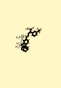 C[SiH](C)Oc1c(CC/C=C(/C(=O)O)c2cccc(C(F)(F)F)c2)ccc(C23CC4CC(CC(C4)C2)C3)c1C(C)(C)C